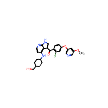 COc1cncc(Oc2ccc(C(=O)c3c[nH]c4nccc(NC5CCC(CO)CC5)c34)c(Cl)c2)c1